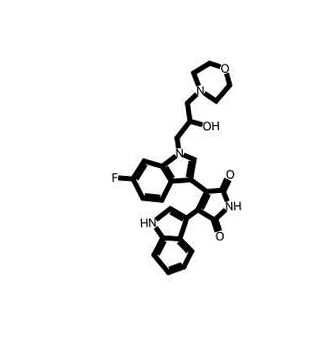 O=C1NC(=O)C(c2cn(CC(O)CN3CCOCC3)c3cc(F)ccc23)=C1c1c[nH]c2ccccc12